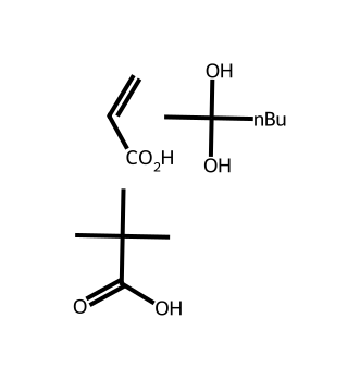 C=CC(=O)O.CC(C)(C)C(=O)O.CCCCC(C)(O)O